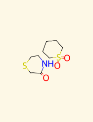 O=C1CSCCN1.O=S1(=O)CCCCC1